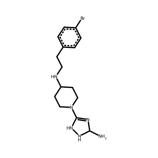 NC1N=C(N2CCC(NCCc3ccc(Br)cc3)CC2)NN1